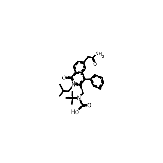 CC(C)Cn1c(CN(C(=O)O)C(C)(C)C)c(-c2ccccc2)c2cc(CC(N)=O)ccc2c1=O